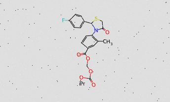 Cc1cc(C(=O)OCOC(=O)OC(C)C)ccc1N1C(=O)CSC1c1ccc(F)cc1